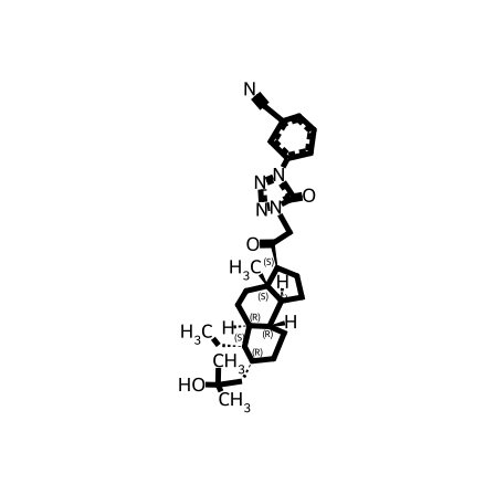 CC[C@H]1[C@@H](CC(C)(C)O)CC[C@@H]2[C@@H]1CC[C@]1(C)[C@@H](C(=O)Cn3nnn(-c4cccc(C#N)c4)c3=O)CC[C@@H]21